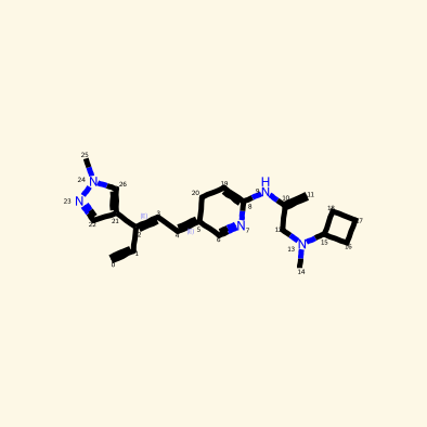 C=C/C(=C\C=C1\C=NC(NC(=C)CN(C)C2CCC2)=CC1)c1cnn(C)c1